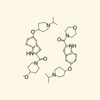 CC(C)N1CCC(Oc2ccc3[nH]c(C(=O)N4CCOCC4)cc3c2)CC1.COC1CCN(C(=O)c2cc3cc(OC4CCN(C(C)C)CC4)ccc3[nH]2)CC1